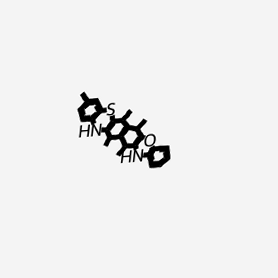 Cc1ccc2c(c1)SC1=C(N2)C(C)C2=C(C(C)C3=C(Nc4ccccc4O3)C2C)C1C